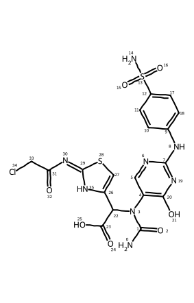 NC(=O)N(c1cnc(Nc2ccc(S(N)(=O)=O)cc2)nc1O)C(C(=O)O)c1csc(=NC(=O)CCl)[nH]1